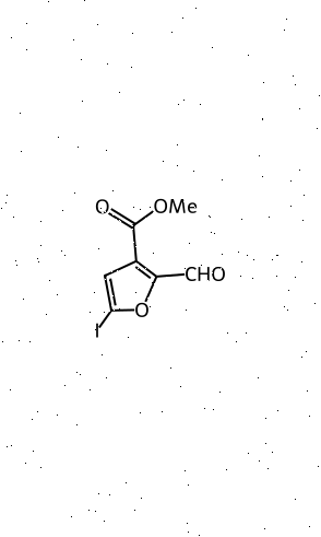 COC(=O)c1cc(I)oc1C=O